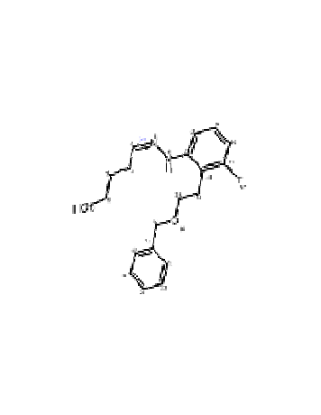 OCCC/C=N\Nc1cccc(F)c1CCOCc1ccccc1